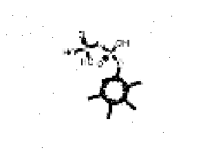 Cc1cc(OP(=O)(O)OP(=O)(O)O)c(C)c(C)c1C